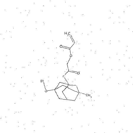 C=CC(=O)OCC(=O)OC12CC3CC(C)(CC(OCC)(C3)C1)C2